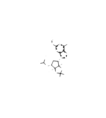 CCCOc1nc(Cl)c2nnn([C@@H]3C[C@H](OC(C)O)[C@H]4OC(C)(C)O[C@H]43)c2n1